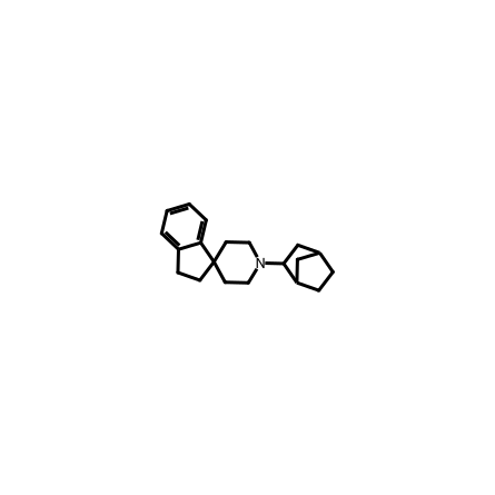 c1ccc2c(c1)CCC21CCN(C2CC3CCC2C3)CC1